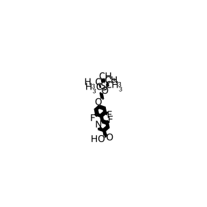 CC(C)(C)[Si](C)(C)OCCOc1cc(F)c(-c2ncc(C(=O)O)cc2F)c(F)c1